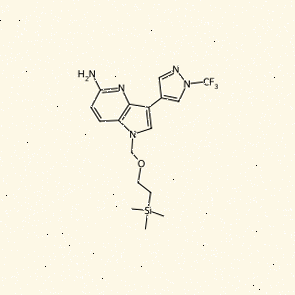 C[Si](C)(C)CCOCn1cc(-c2cnn(C(F)(F)F)c2)c2nc(N)ccc21